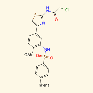 CCCCCc1ccc(S(=O)(=O)Nc2cc(-c3csc(NC(=O)CCl)n3)ccc2OC)cc1